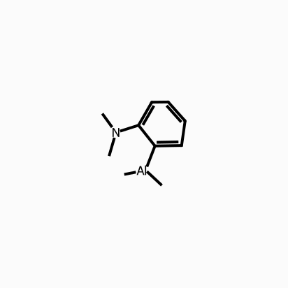 CN(C)c1cccc[c]1[Al]([CH3])[CH3]